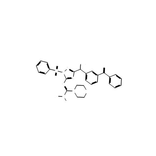 CC(c1cccc(C(=O)c2ccccc2)c1)c1nc(N=C(N(C)C)N2CCOCC2)n(S(=O)(=O)c2ccccc2)n1